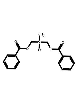 CC[Si](C)(COC(=O)c1ccccc1)COC(=O)c1ccccc1